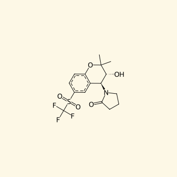 CC1(C)Oc2ccc(S(=O)(=O)C(F)(F)F)cc2[C@H](N2CCCC2=O)[C@H]1O